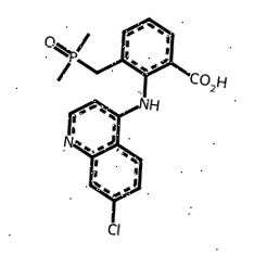 CP(C)(=O)Cc1cccc(C(=O)O)c1Nc1ccnc2cc(Cl)ccc12